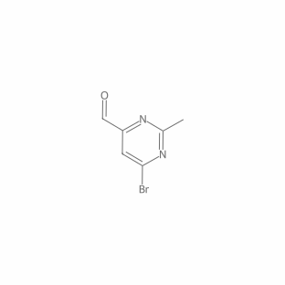 Cc1nc(Br)cc(C=O)n1